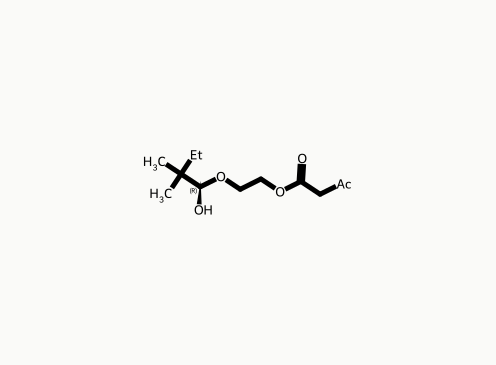 CCC(C)(C)[C@H](O)OCCOC(=O)CC(C)=O